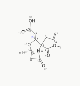 C=CCC1(C(=O)OC)/C(=C/C(=O)O)O[C@@H]2CC(=O)N21